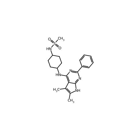 Cc1[nH]c2nc(-c3ccccc3)nc(NC3CCC(NS(C)(=O)=O)CC3)c2c1C